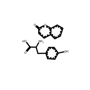 NC(Cc1ccc(O)cc1)C(=O)O.O=c1ccc2ccccc2o1